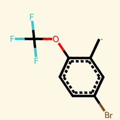 [CH2]c1cc(Br)ccc1OC(F)(F)F